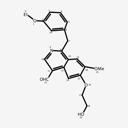 CCOc1cccc(Cc2ncc(C=O)c3cc(OCCO)c(OC)cc23)c1